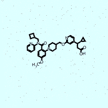 COc1ccc(C(=O)N(CC2CCC2)c2ccccn2)c(N2CCC(COc3cc(C(CC(=O)O)C4CC4)ccn3)CC2)c1